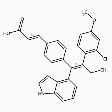 CC/C(=C(/c1ccc(/C=C/C(=O)O)cc1)c1cccc2[nH]ccc12)c1ccc(OC)cc1Cl